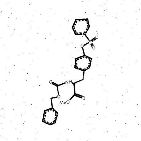 COC(=O)C(Cc1ccc(OS(=O)(=O)c2ccccc2)cc1)NC(=O)OCc1ccccc1